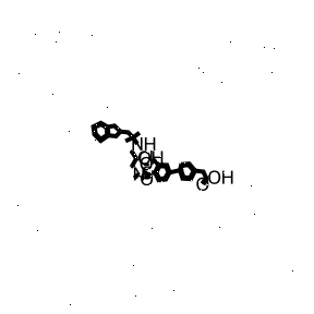 CN(CC(O)CNC(C)(C)CC1Cc2ccccc2C1)S(=O)(=O)c1ccc(-c2ccc(CC(=O)O)cc2)cc1Cl